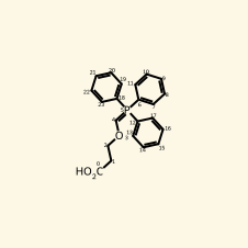 O=C(O)CCOC=P(c1ccccc1)(c1ccccc1)c1ccccc1